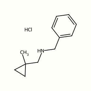 CC1(CNCc2ccccc2)CC1.Cl